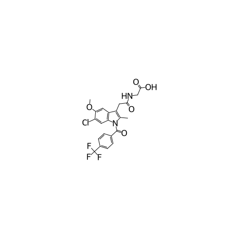 COc1cc2c(CC(=O)NCC(=O)O)c(C)n(C(=O)c3ccc(C(F)(F)F)cc3)c2cc1Cl